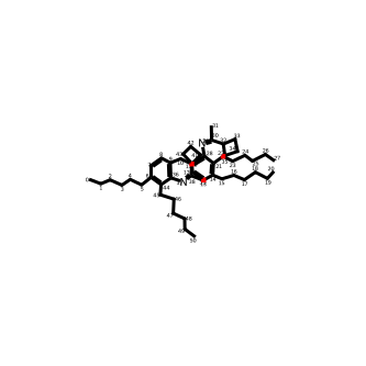 CCCCCCc1ccc(Cc2ccc(CCCCCC)c(CCCCCC)c2/N=C(/C)C2CCC2)c(/N=C(/C)C2CCC2)c1CCCCCC